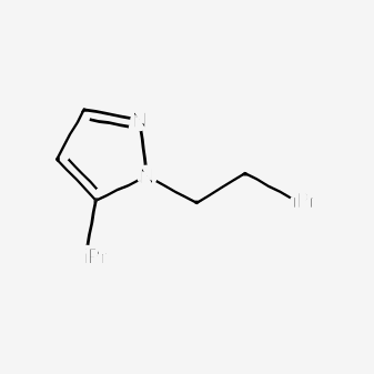 CC(C)CCn1nccc1C(C)C